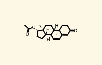 CC(=O)O[C@H]1CC[C@H]2[C@@H]3C=CC4=CC(=O)CC[C@]4(C)[C@H]3CC[C@]12C